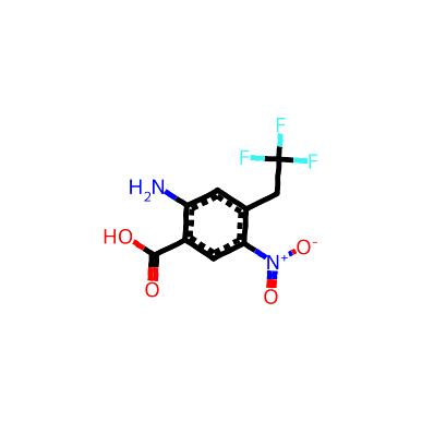 Nc1cc(CC(F)(F)F)c([N+](=O)[O-])cc1C(=O)O